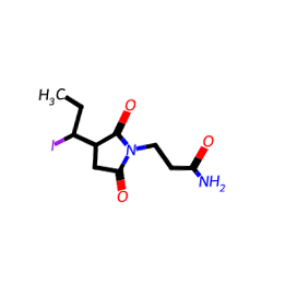 CCC(I)C1CC(=O)N(CCC(N)=O)C1=O